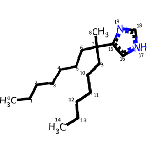 CCCCCCCC(C)(CCCCCC)c1c[nH]cn1